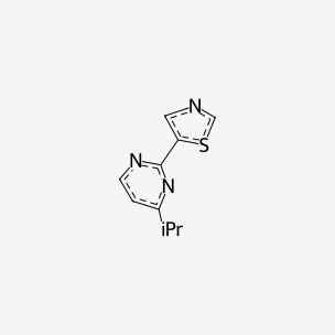 CC(C)c1ccnc(-c2cncs2)n1